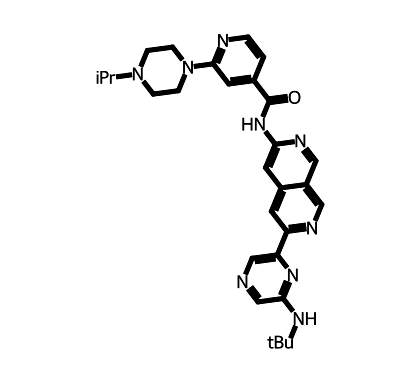 CC(C)N1CCN(c2cc(C(=O)Nc3cc4cc(-c5cncc(NC(C)(C)C)n5)ncc4cn3)ccn2)CC1